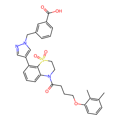 Cc1cccc(OCCCC(=O)N2CCS(=O)(=O)c3c(-c4cnn(Cc5cccc(C(=O)O)c5)c4)cccc32)c1C